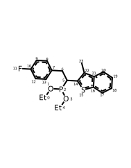 CCOP(OCC)C(Cc1ccc(F)cc1)c1sc2ccccc2c1C